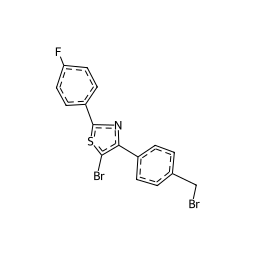 Fc1ccc(-c2nc(-c3ccc(CBr)cc3)c(Br)s2)cc1